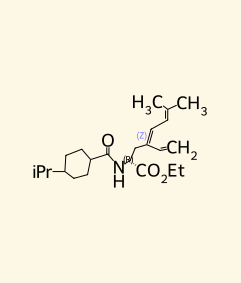 C=C/C(=C\C=C(C)C)C[C@@H](NC(=O)C1CCC(C(C)C)CC1)C(=O)OCC